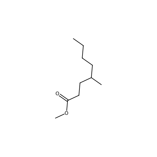 CCCCC(C)CCC(=O)OC